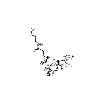 CC(=O)SCCNC(=O)CCNC(=O)[C@@H]1O[PH](O)(N[C@@H](C)C(=O)O)OCC1(C)C